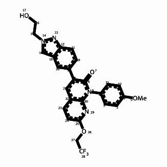 COc1ccc(-n2c(=O)c(-c3ccc4nn(CCO)cc4c3)cc3ccc(OCC(F)(F)F)nc32)cc1